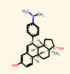 CN(C)c1ccc([C@@H]2C=C3C=C(O)C=C[C@@H]3[C@H]3CC[C@]4(C)[C@@H](O)CC[C@H]4[C@@H]32)cc1